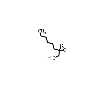 CCCCCCC1(CC)OO1